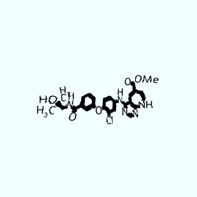 COC(=O)C1=Cc2c(ncnc2Nc2ccc(Oc3cccc(C(=O)NCC(C)(C)O)c3)c(Cl)c2)NCC1